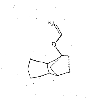 C=COC12CCC(C1)C1CCCC12